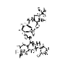 Cn1nccc1C(=O)NC(c1nc2cc(CN3CC(C(F)(F)F)NC3=O)ccc2o1)C1CCC(F)(F)CC1